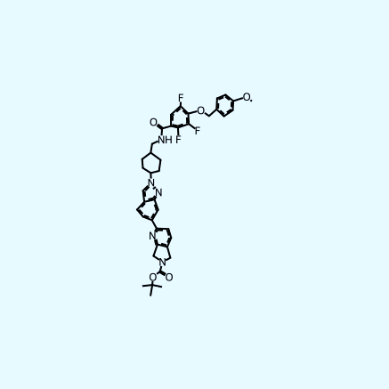 COc1ccc(COc2c(F)cc(C(=O)NCC3CCC(n4cc5ccc(-c6ccc7c(n6)CN(C(=O)OC(C)(C)C)C7)cc5n4)CC3)c(F)c2F)cc1